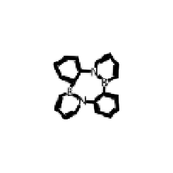 C1=CB2c3ccccc3N3C=CC=CB3c3ccccc3N2C=C1